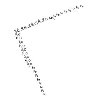 O.O.O.O.O.O.O.O.O.O.O.O.O.O.O.O.O.O.O.[Fe].[Fe].[Fe].[Fe].[Fe].[Fe].[Fe].[Fe].[Fe].[Fe].[Fe].[Fe].[Fe].[Fe].[Fe].[Fe]